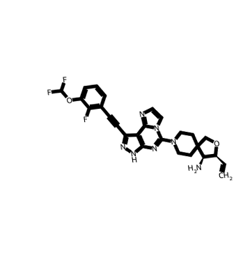 C=C[C@@H]1OCC2(CCN(c3nc4[nH]nc(C#Cc5cccc(OC(F)F)c5F)c4c4nccn34)CC2)[C@@H]1N